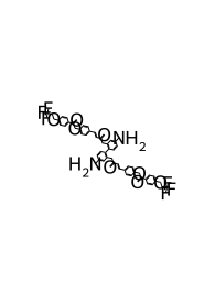 Nc1ccc(-c2ccc(N)cc2CC(=O)/C=C/c2ccc(OC(=O)c3ccc(OCC(F)(F)F)cc3)cc2)c(CC(=O)/C=C/c2ccc(OC(=O)c3ccc(OCC(F)(F)F)cc3)cc2)c1